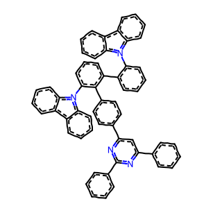 c1ccc(-c2cc(-c3ccc(-c4c(-c5ccccc5-n5c6ccccc6c6ccccc65)cccc4-n4c5ccccc5c5ccccc54)cc3)nc(-c3ccccc3)n2)cc1